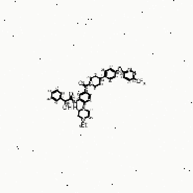 CCN1CCN(c2ccc(C(=O)N3CCC(c4ccc(Oc5ccc(C(F)(F)F)nn5)cc4)CC3)cc2NC(=O)C(O)c2ccccc2)CC1